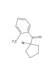 O=C(c1ccccc1C(F)(F)F)C1(Br)CCCC1